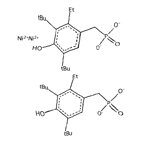 CCc1c(CP(=O)([O-])[O-])cc(C(C)(C)C)c(O)c1C(C)(C)C.CCc1c(CP(=O)([O-])[O-])cc(C(C)(C)C)c(O)c1C(C)(C)C.[Ni+2].[Ni+2]